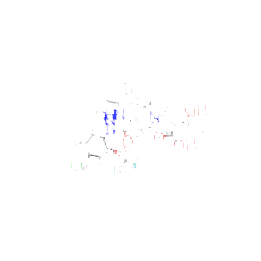 CC(C)c1ccnn1C1(C(=O)Nc2ccc(Cl)cc2OC(F)F)CCN(C[C@@H](C(=O)O)[C@@H](C)O)CC1